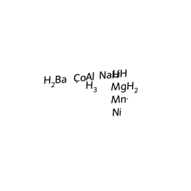 [AlH3].[BaH2].[Co].[LiH].[MgH2].[Mn].[NaH].[Ni]